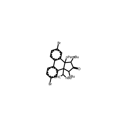 CCCCCC12c3cc(Br)ccc3-c3ccc(Br)cc3C1(C(C=O)CCCC)C(CCCC)C(=O)C2CCCC